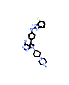 CN1CCN([C@H]2CC[C@@H](n3cc(-c4ccc(Nc5nc6cccc(F)c6[nH]5)cc4)c4c(N)ncnc43)CC2)CC1